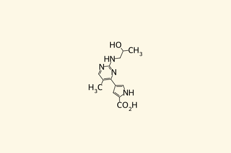 Cc1cnc(NCC(C)O)nc1-c1c[nH]c(C(=O)O)c1